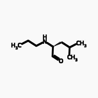 CCCN[C@@H](C=O)CC(C)C